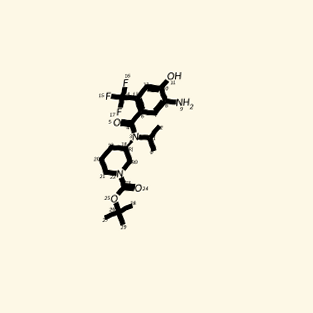 CC(C)N(C(=O)c1cc(N)c(O)cc1C(F)(F)F)[C@@H]1CCCN(C(=O)OC(C)(C)C)C1